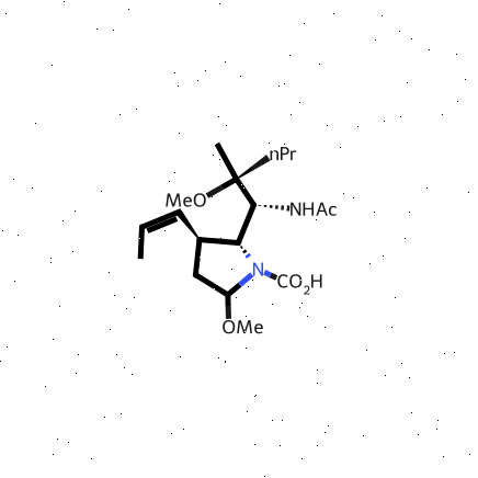 C/C=C\[C@@H]1CC(OC)N(C(=O)O)[C@H]1[C@@H](NC(C)=O)[C@](C)(CCC)OC